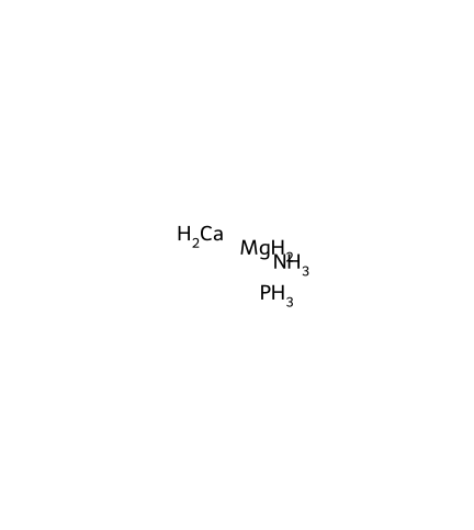 N.P.[CaH2].[MgH2]